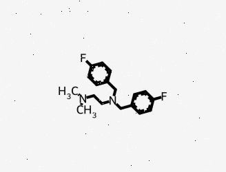 CN(C)CCN(Cc1ccc(F)cc1)Cc1ccc(F)cc1